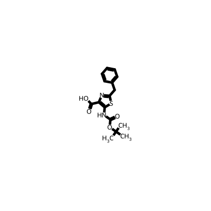 CC(C)(C)OC(=O)Nc1sc(Cc2ccccc2)nc1C(=O)O